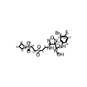 O=S(=O)(CCNc1nonc1/C(=N/O)Nc1ccc(F)c(Br)c1)CCS(=O)(=O)N1CCC1